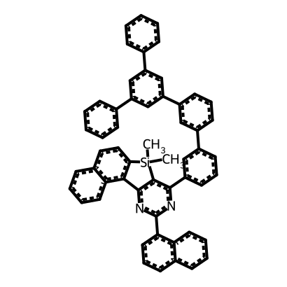 C[Si]1(C)c2ccc3ccccc3c2-c2nc(-c3cccc4ccccc34)nc(-c3cccc(-c4cccc(-c5cc(-c6ccccc6)cc(-c6ccccc6)c5)c4)c3)c21